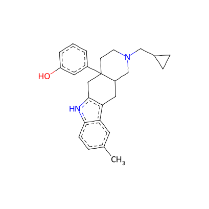 Cc1ccc2[nH]c3c(c2c1)CC1CN(CC2CC2)CCC1(c1cccc(O)c1)C3